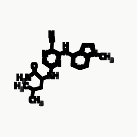 CC(C)CC(Nc1cnc(C#N)c(Nc2cccc3c2ccn3C)n1)C(N)=O